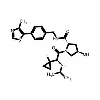 Cc1ncsc1-c1ccc(CNC(=O)[C@@H]2C[C@@H](O)CN2C(=O)[C@@H](NC(C)C)C2(F)CC2)cc1